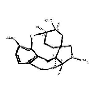 COc1ccc2c3c1O[C@@H]1CCC4(C[C@@H]1OC)CN(C)[C@H](C2)[C@H]4C3